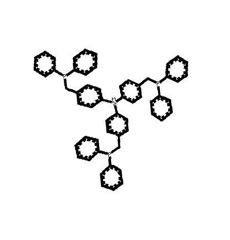 c1ccc(P(Cc2ccc([SiH](c3ccc(CP(c4ccccc4)c4ccccc4)cc3)c3ccc(CP(c4ccccc4)c4ccccc4)cc3)cc2)c2ccccc2)cc1